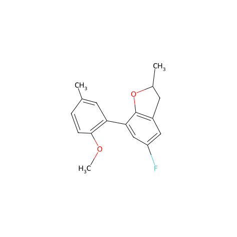 COc1ccc(C)cc1-c1cc(F)cc2c1OC(C)C2